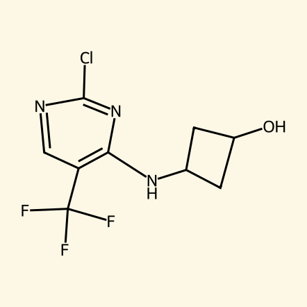 OC1CC(Nc2nc(Cl)ncc2C(F)(F)F)C1